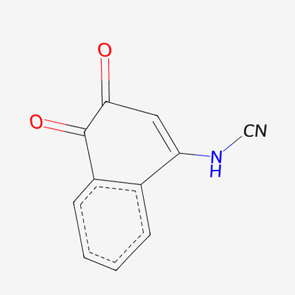 N#CNC1=CC(=O)C(=O)c2ccccc21